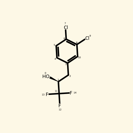 O[C@@H](Cc1ccc(Cl)c(Cl)c1)C(F)(F)F